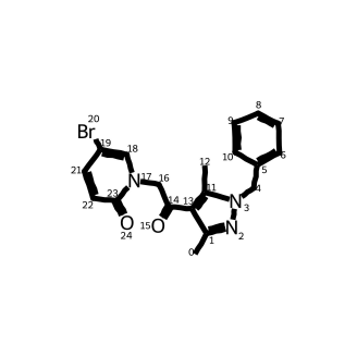 Cc1nn(Cc2ccccc2)c(C)c1C(=O)Cn1cc(Br)ccc1=O